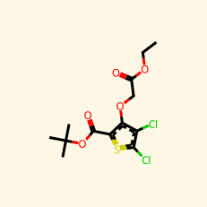 CCOC(=O)COc1c(C(=O)OC(C)(C)C)sc(Cl)c1Cl